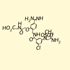 CS(=O)(=O)N(CC(N)=O)c1cc(Cl)cc(C(=O)NCc2ccc(C(=N)N)cc2OCC(=O)NCC(=O)O)c1